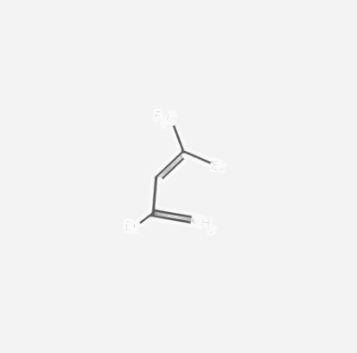 C=C(/C=C(\CC)C(F)(F)F)CC